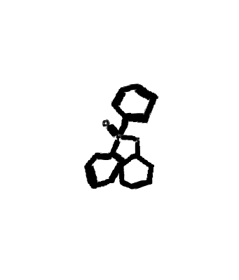 O=P(SC1CCCCC1)(c1ccccc1)c1ccccc1